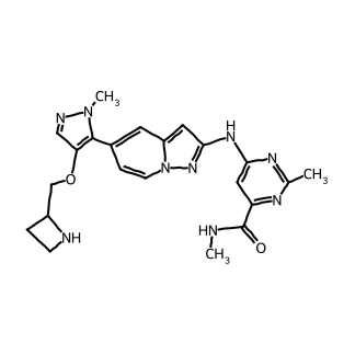 CNC(=O)c1cc(Nc2cc3cc(-c4c(OCC5CCN5)cnn4C)ccn3n2)nc(C)n1